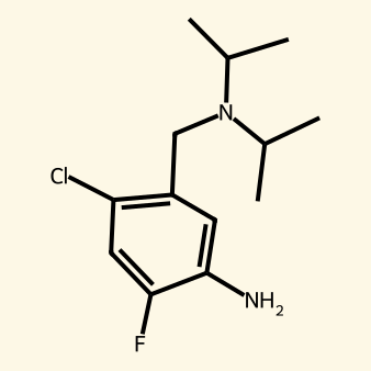 CC(C)N(Cc1cc(N)c(F)cc1Cl)C(C)C